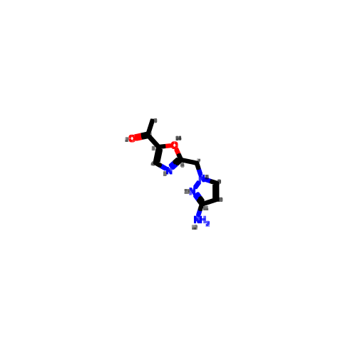 CC(=O)c1cnc(Cn2ccc(N)n2)o1